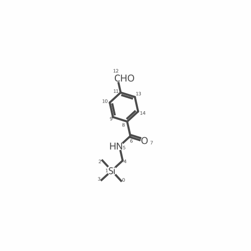 C[Si](C)(C)CNC(=O)c1ccc(C=O)cc1